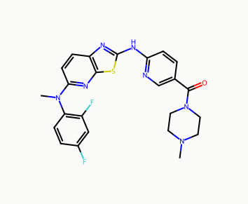 CN1CCN(C(=O)c2ccc(Nc3nc4ccc(N(C)c5ccc(F)cc5F)nc4s3)nc2)CC1